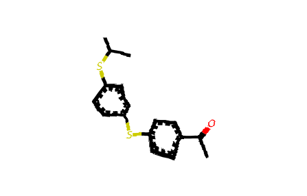 CC(=O)c1ccc(Sc2ccc(SC(C)C)cc2)cc1